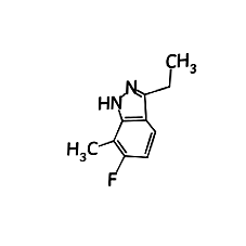 CCc1n[nH]c2c(C)c(F)ccc12